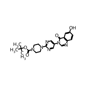 CC(C)(C)OC(=O)N1CCN(c2ncc(-n3cnc4ccc(O)cc4c3=O)cn2)CC1